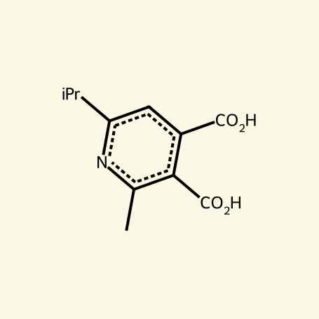 Cc1nc(C(C)C)cc(C(=O)O)c1C(=O)O